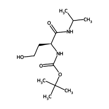 CC(C)NC(=O)[C@H](CCO)NC(=O)OC(C)(C)C